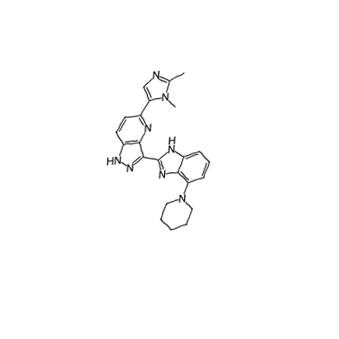 Cc1ncc(-c2ccc3[nH]nc(-c4nc5c(N6CCCCC6)cccc5[nH]4)c3n2)n1C